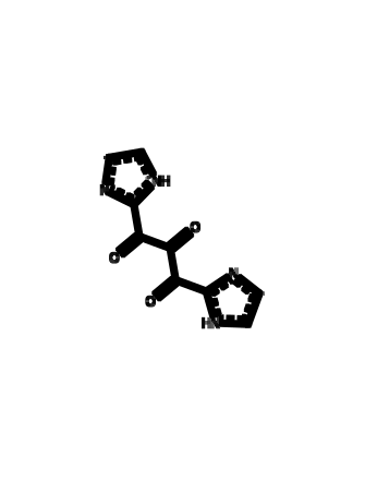 O=C(C(=O)c1n[c]c[nH]1)C(=O)c1n[c]c[nH]1